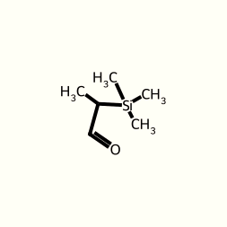 CC(C=O)[Si](C)(C)C